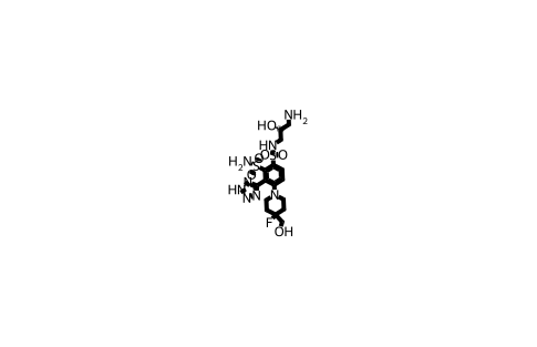 NC[C@@H](O)CNS(=O)(=O)c1ccc(N2CCC(F)(CO)CC2)c(-c2nn[nH]n2)c1S(N)(=O)=O